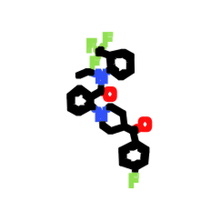 CCN(C(=O)c1ccccc1N1CCC(C(=O)c2ccc(F)cc2)CC1)c1ccccc1C(F)(F)F